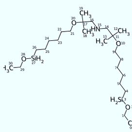 CCO[SiH2]CCCCCCOC(C)(C)CNCC(C)(C)OCCCCCC[SiH2]OCC